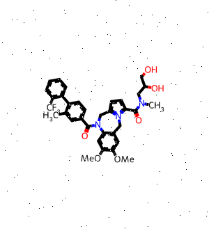 COc1cc2c(cc1OC)N(C(=O)c1ccc(-c3ccccc3C(F)(F)F)c(C)c1)Cc1ccc(C(=O)N(C)CC(O)CO)n1C2